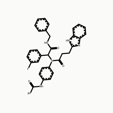 CC(C)C(=O)Nc1ccc(N(C(=O)CCc2nc3ccccc3[nH]2)C(C(=O)NCc2ccccc2)c2cccc(F)c2)cc1